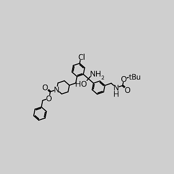 CC(C)(C)OC(=O)NCc1cccc(C(N)(O)c2cc(Cl)ccc2CC2CCN(C(=O)OCc3ccccc3)CC2)c1